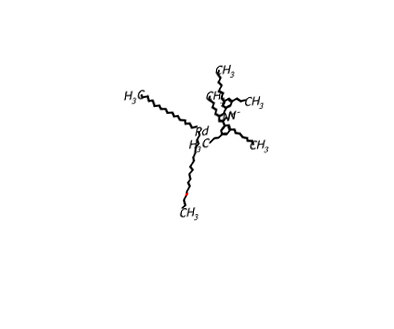 CCCCCCCCCCCCCCCCCC[CH2][Pd][CH2]CCCCCCCCCCCCCCCCCC.CCCCCCCCc1cc(CCCC)cc(C2=CC(CCCCCC)=C(c3cc(CCCC)cc(CCCCCCCC)c3)[N+]2=[N-])c1